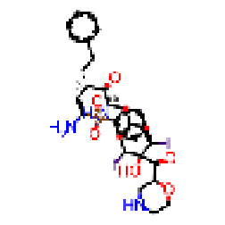 NC(=C[C@H](CCc1ccccc1)C(=O)[C@@H](N)CC1=CC(I)C(O)(C(=O)C2CNCCO2)C(I)=C1)S(=O)(=O)c1ccccc1